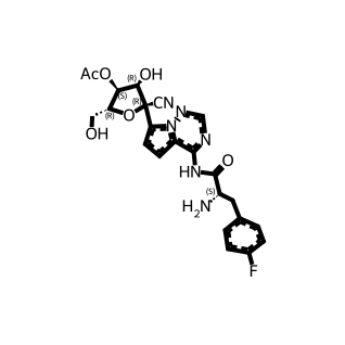 CC(=O)O[C@H]1[C@@H](O)[C@](C#N)(c2ccc3c(NC(=O)[C@@H](N)Cc4ccc(F)cc4)ncnn23)O[C@@H]1CO